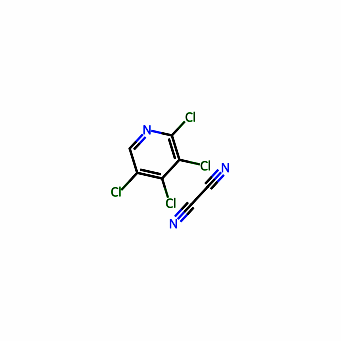 Clc1cnc(Cl)c(Cl)c1Cl.N#CC#N